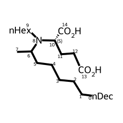 CCCCCCCCCCCCCCCC(C)N(CCCCCC)[C@@H](CCC(=O)O)C(=O)O